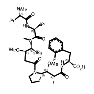 CC[C@H](C)[C@@H]([C@@H](CC(=O)N1CCC[C@H]1[C@H](OC)[C@@H](C)C(=O)N[C@@H](Cc1ccccc1F)C(=O)O)OC)N(C)C(=O)[C@@H](NC(=O)[C@@H](NC)C(C)C)C(C)C